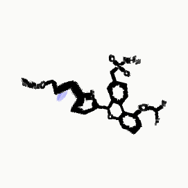 COC/C=C/c1ccc(C2Oc3cccc(OC(F)F)c3-c3ccc(CS(N)(=O)=O)cc32)s1